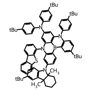 CC(C)(C)c1ccc(N(c2ccc(C(C)(C)C)cc2)c2cc3c4c(c2)N(c2cccc5c2sc2ccccc25)c2cc(N5c6ccc(C(C)(C)C)cc6C6(C)CCCCC56C)ccc2B4c2cc(C(C)(C)C)ccc2N3c2ccc(C(C)(C)C)cc2)cc1